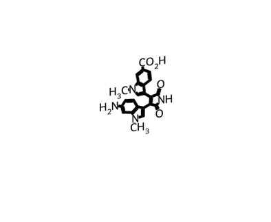 Cn1cc(C2=C(c3cn(C)c4cc(C(=O)O)ccc34)C(=O)NC2=O)c2ccc(N)cc21